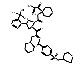 CC(C)(O)c1cnnn1[C@H]1C[C@@H](C(=O)NC2(C(=O)C(N)=O)CCSCC2)N(C(=O)/C(CC2CCCCC2)=N/C(=O)c2ccc(S(=O)(=O)NC3CCSCC3)cc2)C1